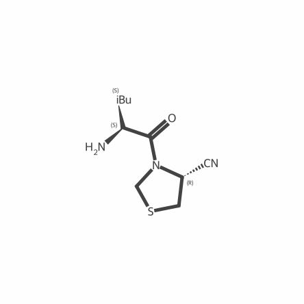 CC[C@H](C)[C@H](N)C(=O)N1CSC[C@H]1C#N